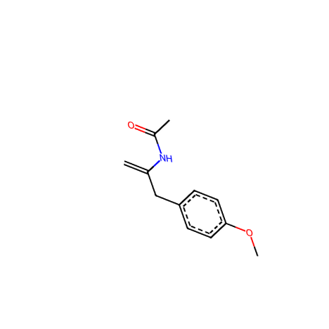 C=C(Cc1ccc(OC)cc1)NC(C)=O